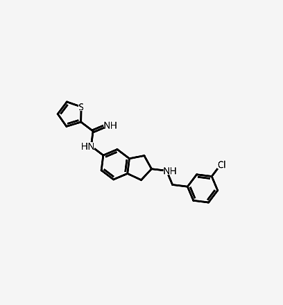 N=C(Nc1ccc2c(c1)CC(NCc1cccc(Cl)c1)C2)c1cccs1